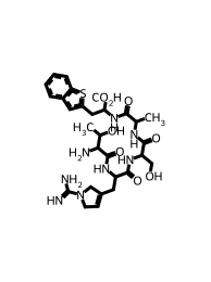 CC(NC(=O)C(CO)NC(=O)C(CC1=CCN(C(=N)N)C1)NC(=O)C(N)C(C)O)C(=O)NC(Cc1cc2ccccc2s1)C(=O)O